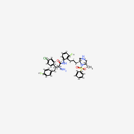 C[C@@H]1CNC[C@H](CCCc2c(F)cccc2NC(=O)[C@@H](N)[C@@H](Cc2ccc(F)cc2)c2ccc(Cl)cc2)N1S(=O)(=O)c1ccccc1